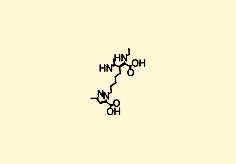 CCN/C(C(=O)O)=C(/CCCCCn1nc(C)cc1C(=O)O)C(C)=N